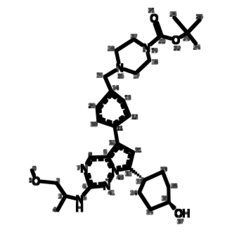 COCC(C)Nc1ncc2c(-c3ccc(CN4CCN(C(=O)OC(C)(C)C)CC4)cc3)cc([C@H]3CC[C@H](O)CC3)n2n1